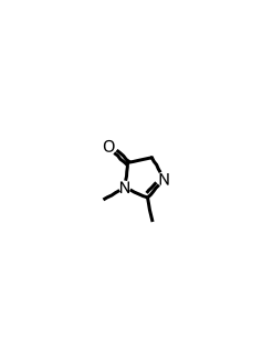 CC1=NCC(=O)N1C